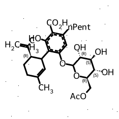 C=C(C)[C@@H]1CCC(C)=CC1c1c(OC2O[C@H](COC(C)=O)[C@@H](O)[C@H](O)[C@H]2O)cc(CCCCC)c(C(=O)O)c1O